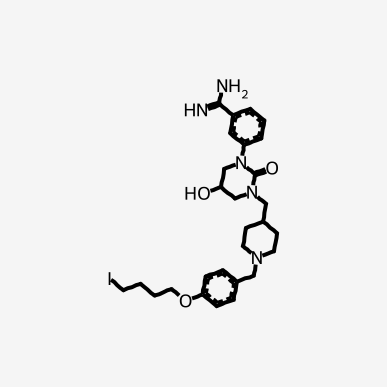 N=C(N)c1cccc(N2CC(O)CN(CC3CCN(Cc4ccc(OCCCCI)cc4)CC3)C2=O)c1